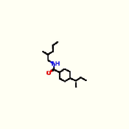 CCCC(C)CNC(=O)C1CCC([C@H](C)CC)CC1